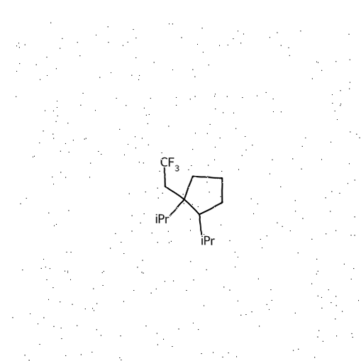 CC(C)C1CCCC1(CC(F)(F)F)C(C)C